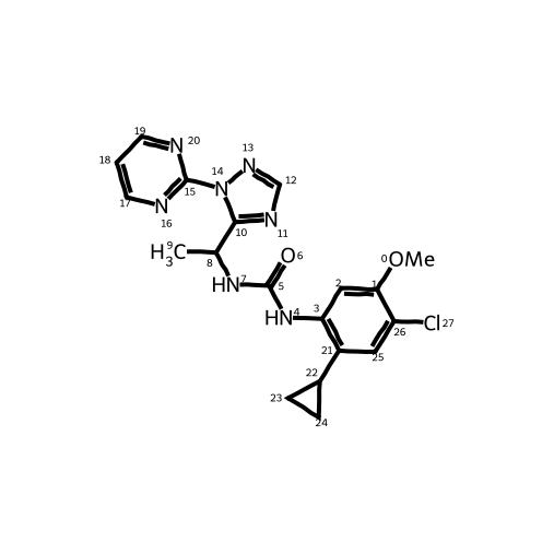 COc1cc(NC(=O)NC(C)c2ncnn2-c2ncccn2)c(C2CC2)cc1Cl